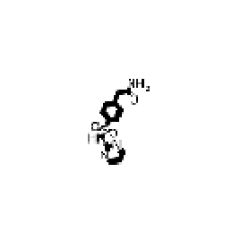 NC(=O)Cc1ccc(S(=O)(=O)Nc2ncccn2)cc1